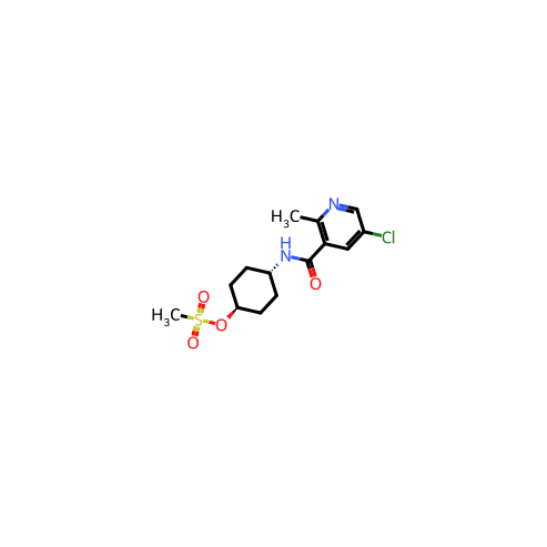 Cc1ncc(Cl)cc1C(=O)N[C@H]1CC[C@H](OS(C)(=O)=O)CC1